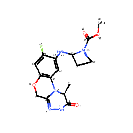 C[C@H]1C(=O)NN=C2COc3cc(F)c(NC4CCN4C(=O)OC(C)(C)C)cc3N21